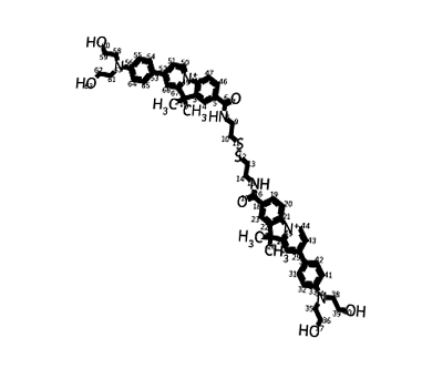 CC1(C)c2cc(C(=O)NCCSSCCNC(=O)c3ccc4c(c3)C(C)(C)c3cc(-c5ccc(N(CCO)CCO)cc5)cc[n+]3-4)ccc2-[n+]2ccc(-c3ccc(N(CCO)CCO)cc3)cc21